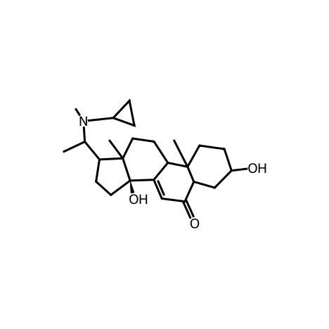 CC(C1CC[C@@]2(O)C3=CC(=O)C4CC(O)CCC4(C)C3CCC12C)N(C)C1CC1